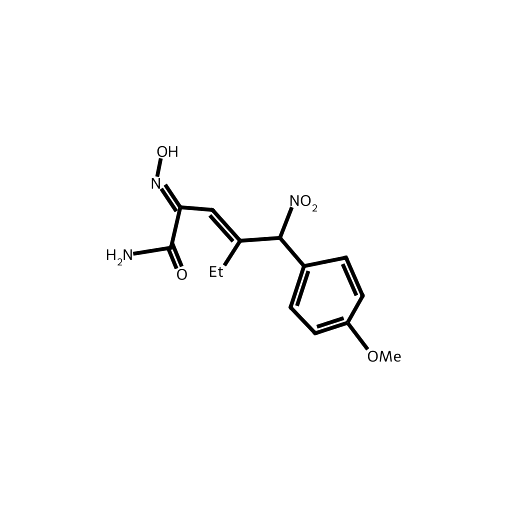 CC/C(=C\C(=N/O)C(N)=O)C(c1ccc(OC)cc1)[N+](=O)[O-]